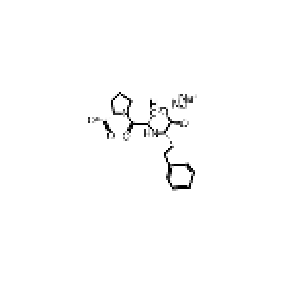 C[C@H](N[C@@H](CCc1ccccc1)C(=O)[O-])C(=O)N1CCC[C@H]1C(=O)[O-].[Na+].[Na+]